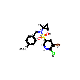 COc1ccc(CN(C2(C)CC2)S(=O)(=O)c2cnc(Cl)c(Br)c2)cc1